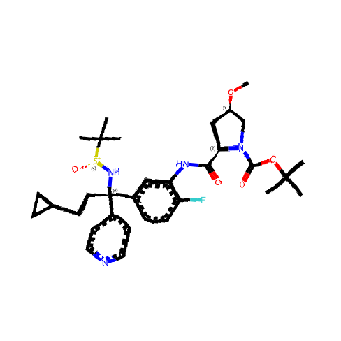 CO[C@@H]1C[C@H](C(=O)Nc2cc([C@@](CCC3CC3)(N[S@+]([O-])C(C)(C)C)c3ccncc3)ccc2F)N(C(=O)OC(C)(C)C)C1